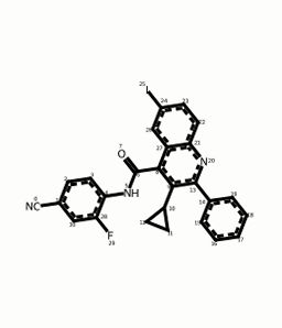 N#Cc1ccc(NC(=O)c2c(C3CC3)c(-c3ccccc3)nc3ccc(I)cc23)c(F)c1